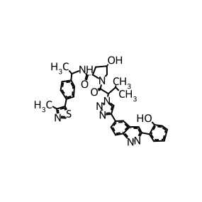 Cc1ncsc1-c1ccc(C(C)NC(=O)[C@@H]2C[C@@H](O)CN2C(=O)C(C(C)C)n2cc(-c3ccc4nnc(-c5ccccc5O)cc4c3)nn2)cc1